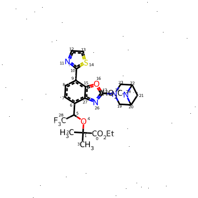 CCOC(=O)C(C)(C)OC(c1ccc(-c2nccs2)c2oc(N3CC4CC(C3)N4C(=O)O)nc12)C(F)(F)F